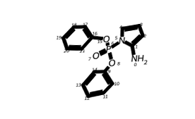 Nc1cccn1P(=O)(Oc1ccccc1)Oc1ccccc1